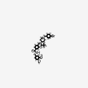 COc1ccc(CNC(=O)c2ccc(CN(C(=O)C(C)(C)C)C3CCN(Cc4ccc(Br)cc4)CC3)cc2)cc1OC